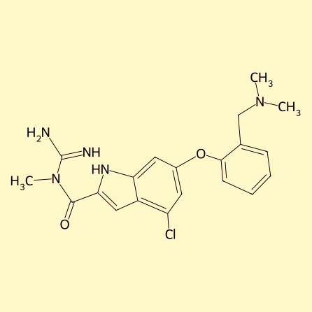 CN(C)Cc1ccccc1Oc1cc(Cl)c2cc(C(=O)N(C)C(=N)N)[nH]c2c1